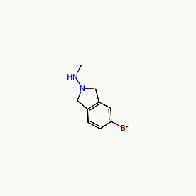 CNN1Cc2ccc(Br)cc2C1